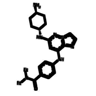 CCN(CC)C(=O)c1ccc(Nc2cc(N[C@H]3CC[C@H](N)CC3)nn3ccnc23)cc1